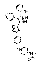 CC(=O)NC1CCN(Cc2ccc(-c3noc(C4=C(c5ccncc5)N(c5ccccc5F)NN4)n3)cc2)CC1